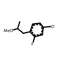 COC(C)Cc1ccc(Cl)cc1F